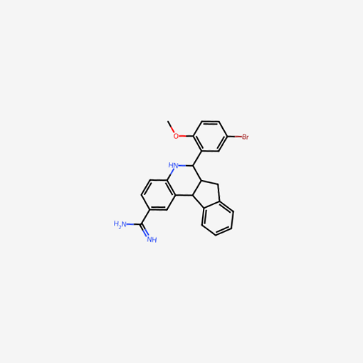 COc1ccc(Br)cc1C1Nc2ccc(C(=N)N)cc2C2c3ccccc3CC12